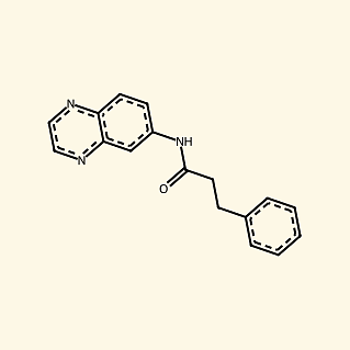 O=C(CCc1ccccc1)Nc1ccc2nccnc2c1